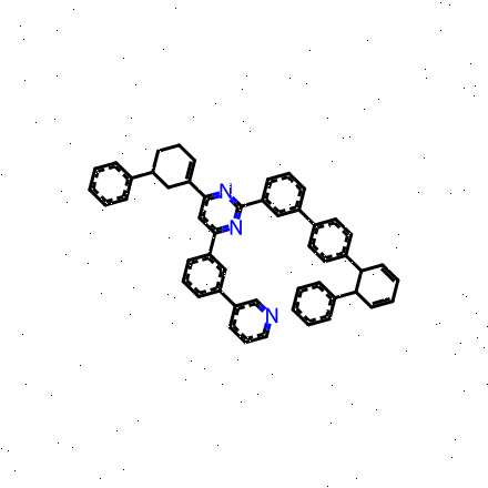 C1=CC(c2ccccc2)C(c2ccc(-c3cccc(-c4nc(C5=CCCC(c6ccccc6)C5)cc(-c5cccc(-c6cccnc6)c5)n4)c3)cc2)C=C1